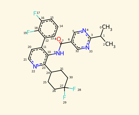 CC(C)c1ncc(C(=O)Nc2c(-c3cccc(F)c3F)ccnc2C2CCC(F)(F)CC2)cn1